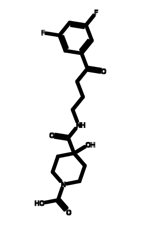 O=C(CCCNC(=O)C1(O)CCN(C(=O)O)CC1)c1cc(F)cc(F)c1